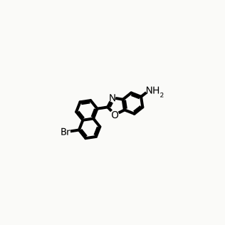 Nc1ccc2oc(-c3cccc4c(Br)cccc34)nc2c1